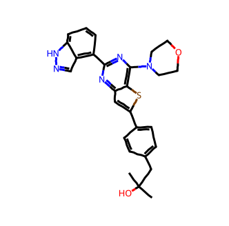 CC(C)(O)Cc1ccc(-c2cc3nc(-c4cccc5[nH]ncc45)nc(N4CCOCC4)c3s2)cc1